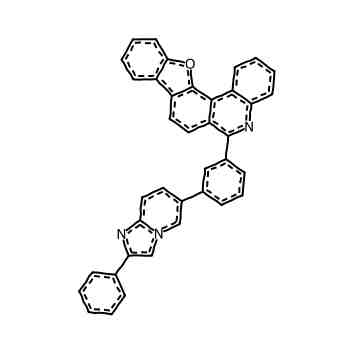 c1ccc(-c2cn3cc(-c4cccc(-c5nc6ccccc6c6c5ccc5c7ccccc7oc56)c4)ccc3n2)cc1